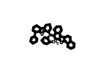 Cc1ccccc1N(c1cc2oc3c4ccccc4ccc3c2c2ccccc12)c1cccc2c1oc1c(-c3ccccc3)cccc12